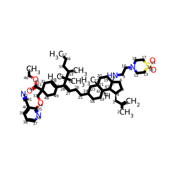 C=C(C)C[C@@H]1CC[C@]2(NCCN3CCS(=O)(=O)CC3)CC[C@@]3(C)CC(CC/C=C(/C4=CCC(COc5ncccc5C#N)(C(=O)OCC)CC4)C(C)(C)C(C)CCC)CC[C@@H]3C12